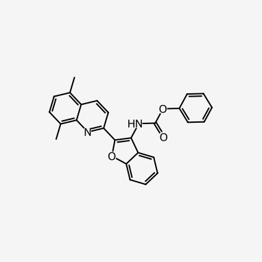 Cc1ccc(C)c2nc(-c3oc4ccccc4c3NC(=O)Oc3ccccc3)ccc12